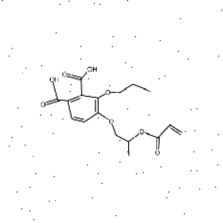 C=CC(=O)OC(C)COc1ccc(C(=O)O)c(C(=O)O)c1OCCC